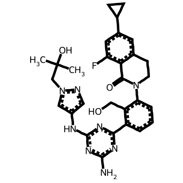 CC(C)(O)Cn1cc(Nc2nc(N)nc(-c3cccc(N4CCc5cc(C6CC6)cc(F)c5C4=O)c3CO)n2)cn1